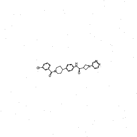 O=C(Nc1ccc(C2CCN(C(=O)c3cccc(Cl)c3)CC2)cc1)C1CN(c2ccnnc2)C1